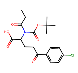 CCC(=O)N(C(=O)OC(C)(C)C)C(CCC(=O)c1ccc(Cl)cc1)C(=O)O